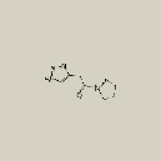 O=C(Cc1c[nH]nn1)N1CCCC1